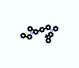 CC1(C)c2ccccc2-c2ccc(N(c3ccccc3)c3cccc(-c4ccc(-c5ccc6c(c5)c5ccccc5n6-c5cccc6c5sc5ccccc56)cc4)c3)cc21